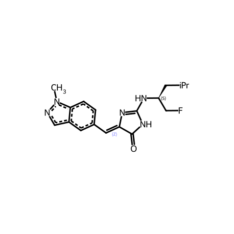 CC(C)C[C@@H](CF)NC1=N/C(=C\c2ccc3c(cnn3C)c2)C(=O)N1